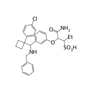 CCC(C(Oc1cccc(C(NCc2ccccc2)C2(c3ccc(Cl)cc3)CCC2)c1)C(N)=O)S(=O)(=O)O